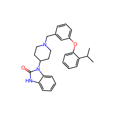 CC(C)c1ccccc1Oc1cccc(CN2CCC(n3c(=O)[nH]c4ccccc43)CC2)c1